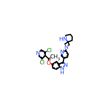 C[C@@H](Oc1ccc2[nH]nc(-c3ccc(N4CC5(CCCCN5)C4)nc3)c2c1)c1c(Cl)cncc1Cl